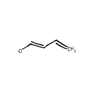 C=C/C=C/[O]